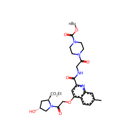 CCCCOC(=O)N1CCN(C(=O)CNC(=O)c2cc(OCC(=O)N3C[C@H](O)C[C@H]3C(=O)OCC)c3ccc(C)cc3n2)CC1